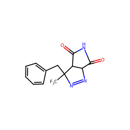 O=C1NC(=O)C2C1N=NC2(Cc1ccccc1)C(F)(F)F